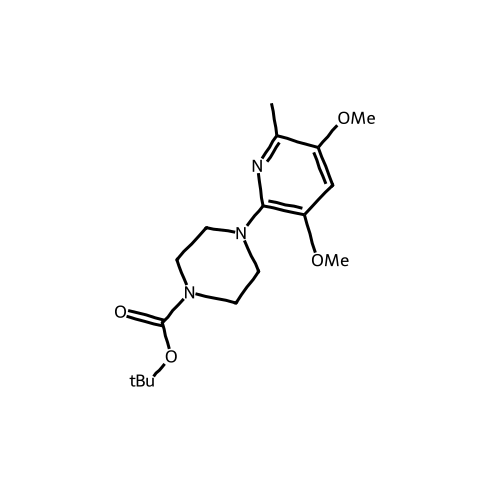 COc1cc(OC)c(N2CCN(C(=O)OC(C)(C)C)CC2)nc1C